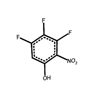 O=[N+]([O-])c1c(O)cc(F)c(F)c1F